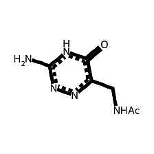 CC(=O)NCc1nnc(N)[nH]c1=O